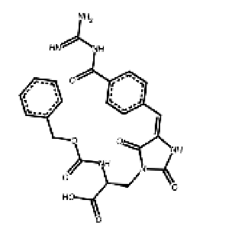 N=C(N)NC(=O)c1ccc(/C=C2/NC(=O)N(C[C@H](NC(=O)OCc3ccccc3)C(=O)O)C2=O)cc1